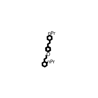 CCCC1CCC(CCc2ccc(OCCCC3CCCCC3CCC)cc2)CC1